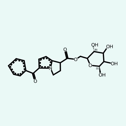 O=C(c1ccccc1)c1ccc2n1CCC2C(=O)OCC1O[C@H](O)C(O)C(O)[C@H]1O